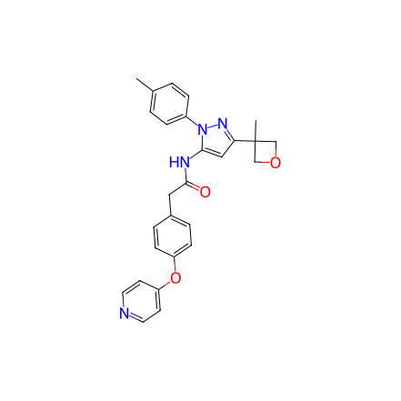 Cc1ccc(-n2nc(C3(C)COC3)cc2NC(=O)Cc2ccc(Oc3ccncc3)cc2)cc1